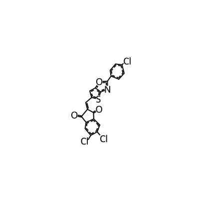 O=C1C(=Cc2cc3oc(-c4ccc(Cl)cc4)nc3s2)C(=O)c2cc(Cl)c(Cl)cc21